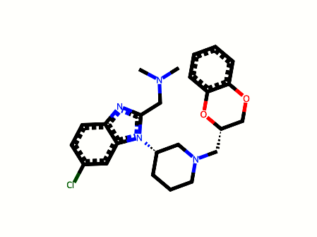 CN(C)Cc1nc2ccc(Cl)cc2n1[C@H]1CCCN(C[C@H]2COc3ccccc3O2)C1